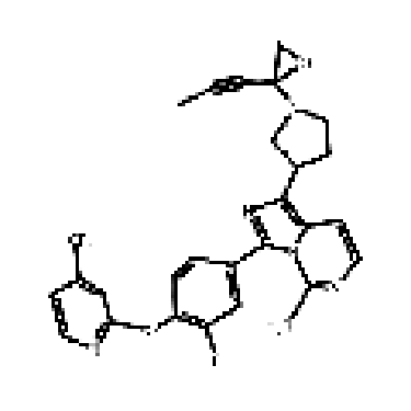 CC#CC1(N2CCC(c3nc(-c4ccc(Oc5cc(C(F)(F)F)ccn5)c(F)c4)n4c(N)nccc34)C2)CO1